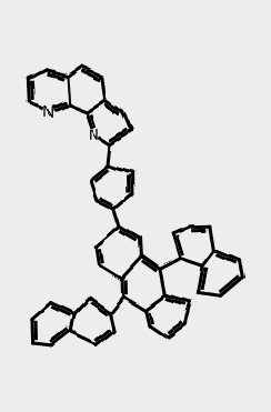 c1ccc2cc(-c3c4ccccc4c(-c4cccc5ccccc45)c4cc(-c5ccc(-c6ccc7ccc8cccnc8c7n6)cc5)ccc34)ccc2c1